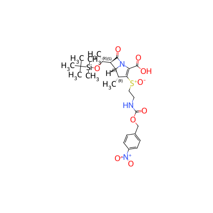 C[C@@H](O[Si](C)(C)C(C)(C)C)[C@H]1C(=O)N2C(C(=O)O)=C([S+]([O-])CCNC(=O)OCc3ccc([N+](=O)[O-])cc3)[C@H](C)[C@H]12